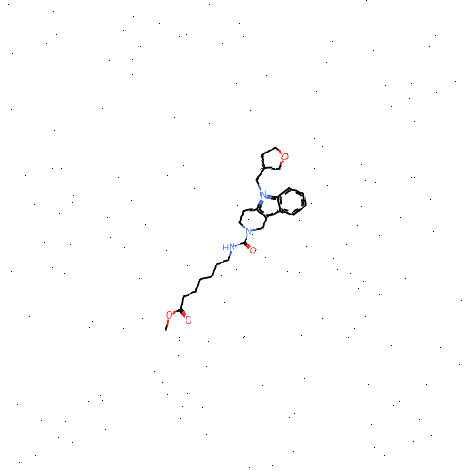 COC(=O)CCCCCCNC(=O)N1CCc2c(c3ccccc3n2CC2CCOC2)C1